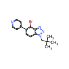 CC(C)(C)Cn1nnc2c(Br)c(-c3ccncc3)ccc21